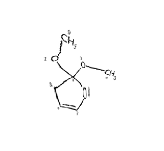 COC1(OC)CC=CO1